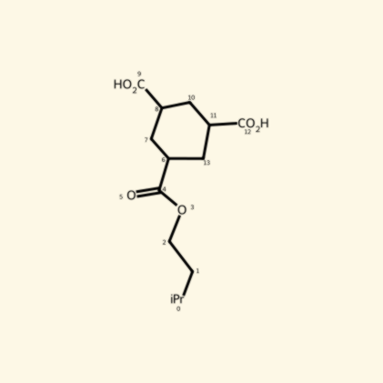 CC(C)CCOC(=O)C1CC(C(=O)O)CC(C(=O)O)C1